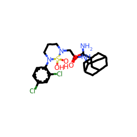 NC(=O)C12CC3CC(C1)C(NC(=O)CN1CCCN(c4ccc(Cl)cc4Cl)S1(O)O)C(C3)C2